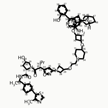 Cc1ncsc1-c1ccc([C@H](C)NC(=O)[C@@H]2C[C@@H](O)CN2C(=O)[C@@H](c2cc(N3CC(OCCN4CCC(OC5CC(Oc6cc(N7C8CC[C@@H]7CN(c7cc(-c9ccccc9O)nnc7N)C8)ccn6)C5)CC4)C3)no2)C(C)C)cc1